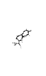 CNC(=O)c1ccc2ccc(C)cc2n1